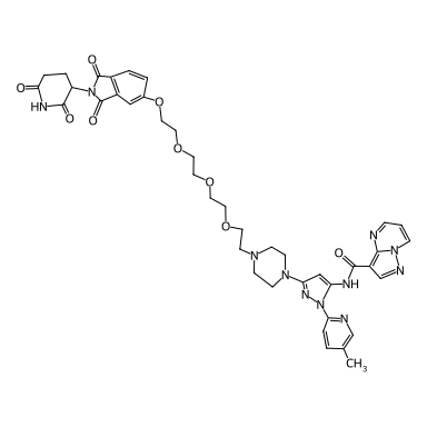 Cc1ccc(-n2nc(N3CCN(CCOCCOCCOCCOc4ccc5c(c4)C(=O)N(C4CCC(=O)NC4=O)C5=O)CC3)cc2NC(=O)c2cnn3cccnc23)nc1